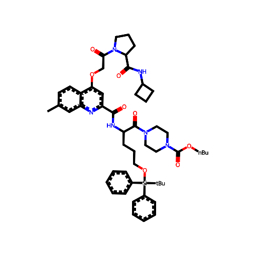 CCCCOC(=O)N1CCN(C(=O)C(CCCO[Si](c2ccccc2)(c2ccccc2)C(C)(C)C)NC(=O)c2cc(OCC(=O)N3CCCC3C(=O)NC3CCC3)c3ccc(C)cc3n2)CC1